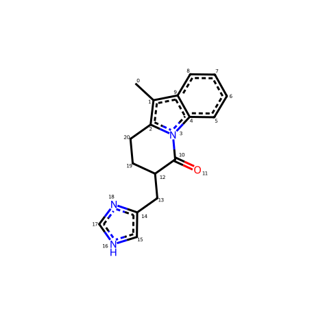 Cc1c2n(c3ccccc13)C(=O)C(Cc1c[nH]cn1)CC2